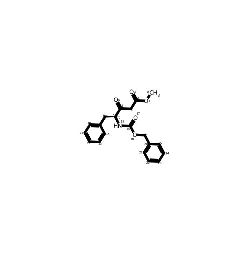 COC(=O)CC(=O)[C@H](Cc1ccccc1)NC(=O)OCc1ccccc1